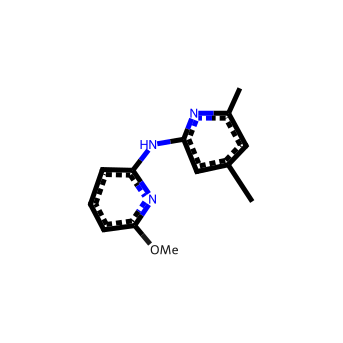 COc1cccc(Nc2cc(C)cc(C)n2)n1